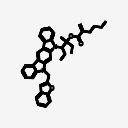 C=C(CCCC)C(=O)OC(C)(CC)C(CC)n1c2ccccc2c2cc3c4ccccc4n(Cc4cc5ccccc5o4)c3cc21